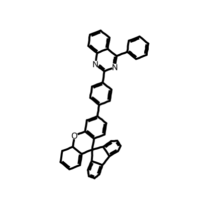 C1=CCC2Oc3cc(-c4ccc(-c5nc(-c6ccccc6)c6ccccc6n5)cc4)ccc3C3(C2=C1)c1ccccc1-c1ccccc13